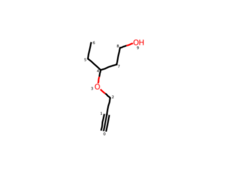 C#CCOC(CC)CCO